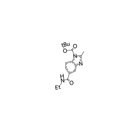 CCNC(=O)c1ccc2c(c1)nc(C)n2C(=O)OC(C)(C)C